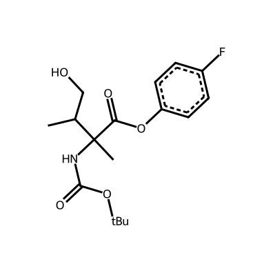 CC(CO)C(C)(NC(=O)OC(C)(C)C)C(=O)Oc1ccc(F)cc1